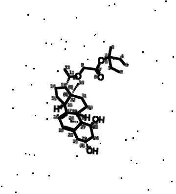 CCC(C)(CC)OC(=O)COC(C)[C@H]1CC[C@H]2C3=CC=C4C[C@@H](O)C[C@H](O)[C@]4(C)[C@H]3CC[C@]12C